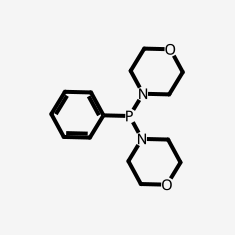 c1ccc(P(N2CCOCC2)N2CCOCC2)cc1